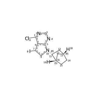 Clc1ncnc2c1c(I)cn2[C@@H]1C[C@@H]2CC[C@H]1C2